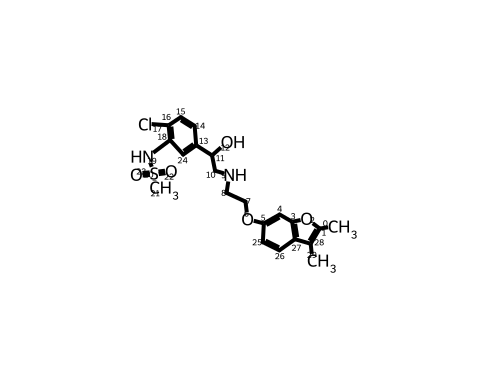 Cc1oc2cc(OCCNCC(O)c3ccc(Cl)c(NS(C)(=O)=O)c3)ccc2c1C